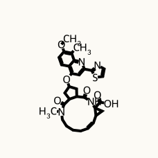 COc1ccc2c(OC3CC4C(=O)NC5(C(=O)O)CC5/C=C\CCCCN(C)C(=O)C4C3)cc(-c3nccs3)nc2c1C